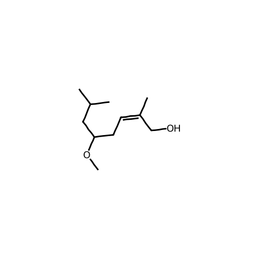 COC(CC=C(C)CO)CC(C)C